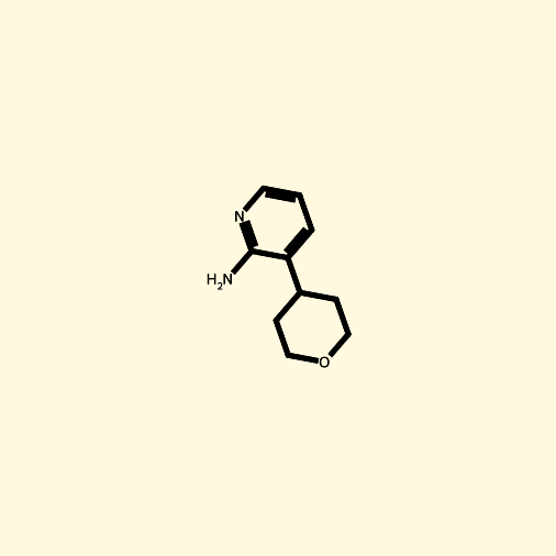 Nc1ncccc1C1CCOCC1